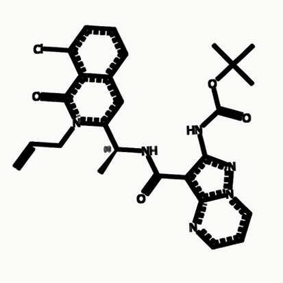 C=CCn1c([C@H](C)NC(=O)c2c(NC(=O)OC(C)(C)C)nn3cccnc23)cc2cccc(Cl)c2c1=O